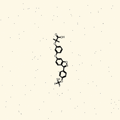 CC(C)(Oc1cccc(Oc2ccc3c(-c4ccc(OC(F)(F)S)cc4)noc3c2)c1)C(=O)O